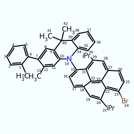 Cc1ccccc1-c1cc2c(cc1C)N(c1ccc3cc(C(C)C)c4c(Br)ccc5cc(C(C)C)c1c3c54)c1ccccc1C2(C)C